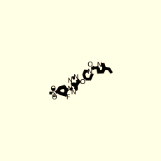 CCc1ccc(C(=O)N2CCC(Oc3ncnc4c3cnn4-c3ccc(S(C)(=O)=O)cc3F)CC2)nc1